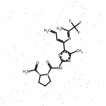 C=C/C=C(\N=C(/N)C(F)(F)F)c1sc(NC(=O)N2CCC[C@H]2C(N)=O)nc1C